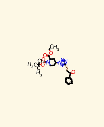 CCOC(=O)C1CC(n2nnc(SCC(=O)c3ccccc3)n2)CCN1C(=O)OC(C)(C)C